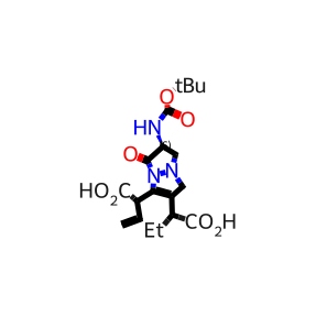 C=CC(C(=O)O)C1=C(C(CC)C(=O)O)CN2C[C@H](NC(=O)OC(C)(C)C)C(=O)N12